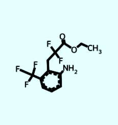 CCOC(=O)C(F)(F)Cc1c(N)cccc1C(F)(F)F